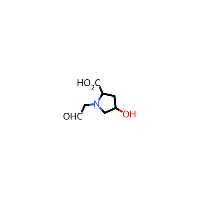 O=CCN1CC(O)CC1C(=O)O